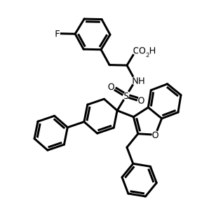 O=C(O)C(Cc1cccc(F)c1)NS(=O)(=O)C1(c2c(Cc3ccccc3)oc3ccccc23)C=CC(c2ccccc2)=CC1